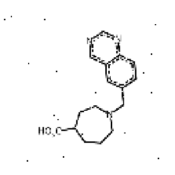 O=C(O)C1CCCN(Cc2ccc3ncncc3c2)CC1